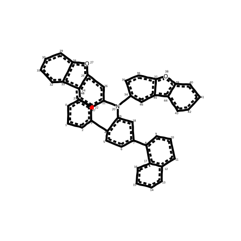 c1ccc(-c2ccc(-c3cccc4ccccc34)cc2N(c2ccc3c(c2)oc2ccccc23)c2ccc3oc4ccccc4c3c2)cc1